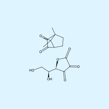 CC12CCC(C(=O)C1=O)C2(C)C.O=C1O[C@H]([C@@H](O)CO)C(=O)C1=O